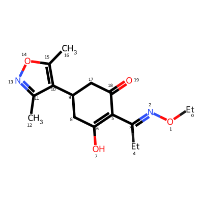 CCON=C(CC)C1=C(O)CC(c2c(C)noc2C)CC1=O